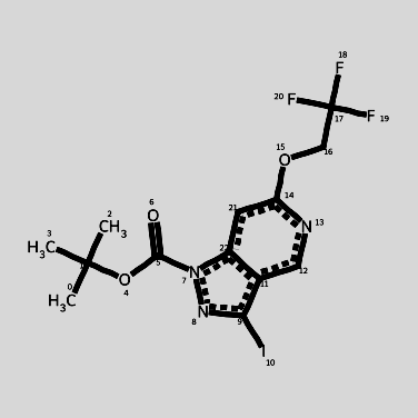 CC(C)(C)OC(=O)n1nc(I)c2cnc(OCC(F)(F)F)cc21